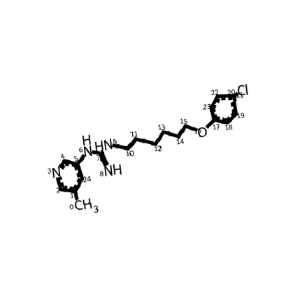 Cc1cncc(NC(=N)NCCCCCCOc2ccc(Cl)cc2)c1